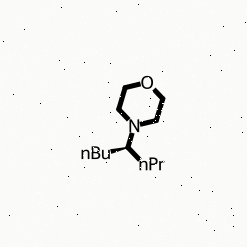 CCCC[C@H](CCC)N1CCOCC1